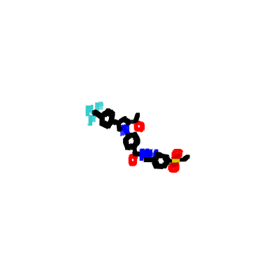 CCS(=O)(=O)c1ccc(CNC(=O)c2ccc(N3CC(c4ccc(C(F)(F)F)cc4)C[C@H]3C(C)=O)cc2)cc1